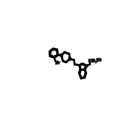 CCOC(=O)Cn1cc(CCN2CCN(c3ccccc3C(C)C)CC2)c2ccccc21